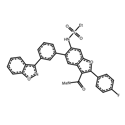 CCS(=O)(=O)Nc1cc2oc(-c3ccc(F)cc3)c(C(=O)NC)c2cc1-c1cccc(-c2noc3ccccc23)c1